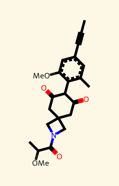 CC#Cc1cc(C)c(C2C(=O)CC3(CC2=O)CN(C(=O)C(C)OC)C3)c(OC)c1